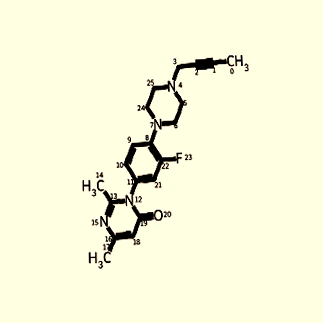 CC#CCN1CCN(c2ccc(-n3c(C)nc(C)cc3=O)cc2F)CC1